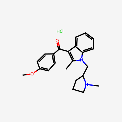 COc1ccc(C(=O)c2c(C)n(CC3CCCN3C)c3ccccc23)cc1.Cl